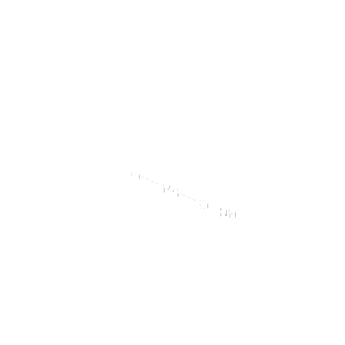 N.[Cl][Hg][Cl]